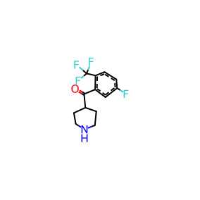 O=C(c1cc(F)ccc1C(F)(F)F)C1CCNCC1